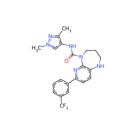 Cc1nn(C)cc1NC(=O)N1CCCNc2ccc(-c3cccc(C(F)(F)F)c3)nc21